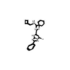 O=C(NCC1CCC1)C1(OCc2cc(=O)n3nc(-c4ccccc4)nc3[nH]2)CCCCC1